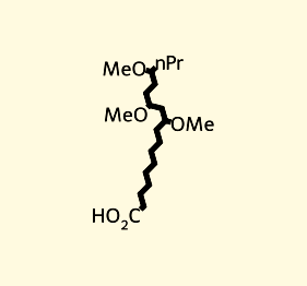 CCCC(CCC(CC(CCCCCCCCC(=O)O)OC)OC)OC